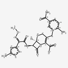 CO/N=C(\C(=O)N[C@@H]1C(=O)N2C(C(=O)[O-])=C(C[n+]3cc(C(N)=O)ccc3N)CS[C@H]12)c1nsc(N)n1